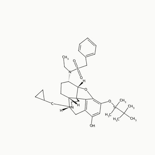 CCN([C@H]1CC[C@H]2[C@H]3Cc4c(O)cc(O[Si](C)(C)C(C)(C)C)c5c4[C@@]2(CCN3CC2CC2)[C@H]1O5)S(=O)(=O)Cc1ccccc1